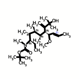 C=C([C@H](C(/C=C/C)OC)[C@H](C)[C@H](C)[C@@H](C)[C@@H](CC)N(C)C(=O)OC(C)(C)C)C(C)(C)O